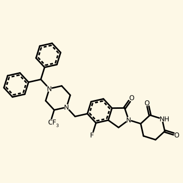 O=C1CCC(N2Cc3c(ccc(CN4CCN(C(c5ccccc5)c5ccccc5)CC4C(F)(F)F)c3F)C2=O)C(=O)N1